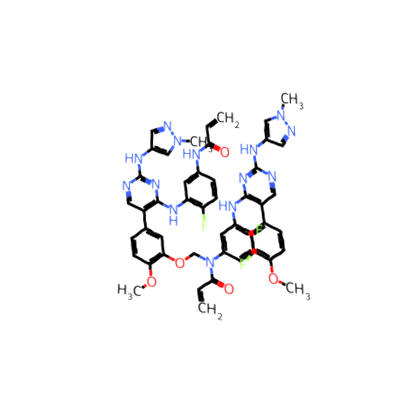 C=CC(=O)Nc1ccc(F)c(Nc2nc(Nc3cnn(C)c3)ncc2-c2ccc(OC)c(OCN(C(=O)C=C)c3ccc(F)c(Nc4nc(Nc5cnn(C)c5)ncc4-c4ccc(OC)c(F)c4)c3)c2)c1